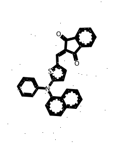 O=C1C(=Cc2ccc(N(C3=C=C=CC=C3)c3cccc4ccccc34)s2)C(=O)c2ccccc21